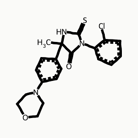 CC1(c2ccc(N3CCOCC3)cc2)NC(=S)N(c2ccccc2Cl)C1=O